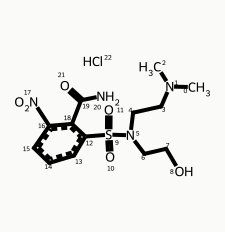 CN(C)CCN(CCO)S(=O)(=O)c1cccc([N+](=O)[O-])c1C(N)=O.Cl